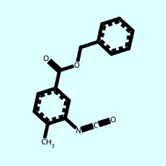 Cc1ccc(C(=O)OCc2ccccc2)cc1N=C=O